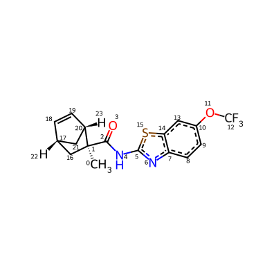 C[C@]1(C(=O)Nc2nc3ccc(OC(F)(F)F)cc3s2)C[C@@H]2C=C[C@H]1C2